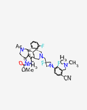 COC(=O)N[C@H]1CCN(C(C)=O)C[C@@](c2cccc(F)c2)(C2CCN(CC3(F)CN(c4ccc(C#N)c(CN(C)C)c4F)C3)CC2)[C@H]1C